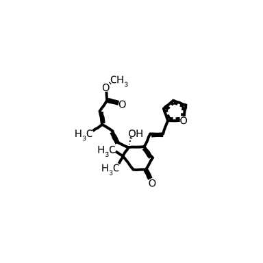 COC(=O)/C=C(C)\C=C\[C@@]1(O)C(/C=C/c2ccco2)=CC(=O)CC1(C)C